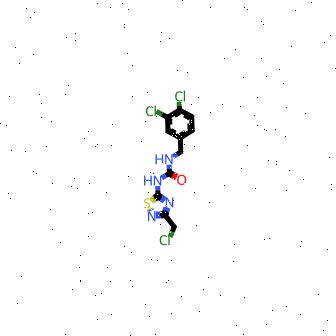 O=C(NCc1ccc(Cl)c(Cl)c1)Nc1nc(CCl)ns1